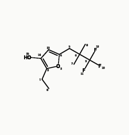 CCc1oc(CC(C)(C)C(F)(F)F)cc1O